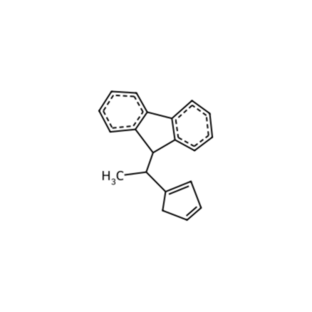 CC(C1=CC=CC1)C1c2ccccc2-c2ccccc21